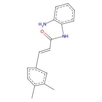 Cc1ccc(/C=C/C(=O)Nc2ccccc2N)cc1C